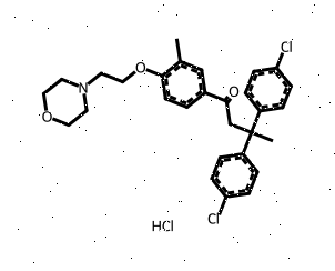 Cc1cc(C(=O)CC(C)(c2ccc(Cl)cc2)c2ccc(Cl)cc2)ccc1OCCN1CCOCC1.Cl